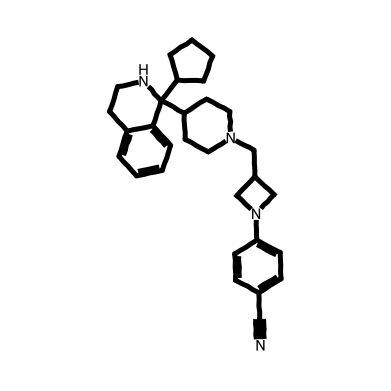 N#Cc1ccc(N2CC(CN3CCC(C4(C5CCCC5)NCCc5ccccc54)CC3)C2)cc1